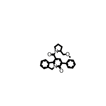 COCC1CCCN1C(=O)c1cc(-c2ccccc2)c(=O)n2c1-c1ccccc1C2